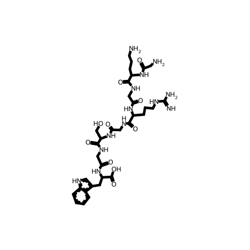 N=C(N)NCCCC(NC(=O)CNC(=O)C(CCCN)NC(=O)CN)C(=O)NCC(=O)NC(CO)C(=O)NCC(=O)NC(Cc1c[nH]c2ccccc12)C(=O)O